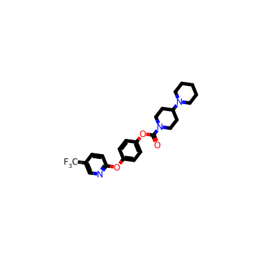 O=C(Oc1ccc(Oc2ccc(C(F)(F)F)cn2)cc1)N1CCC(N2CCCCC2)CC1